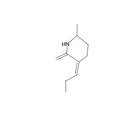 C=C1NC(C)CC/C1=C/CC